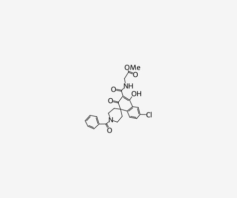 COC(=O)CNC(=O)C1=C(O)c2cc(Cl)ccc2C2(CCN(C(=O)c3ccccc3)CC2)C1=O